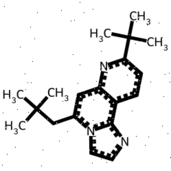 CC(C)(C)Cc1cc2nc(C(C)(C)C)ccc2c2nccn12